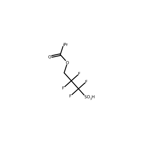 CC(C)C(=O)OCC(F)(F)C(F)(F)S(=O)(=O)O